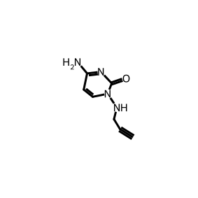 C#CCNn1ccc(N)nc1=O